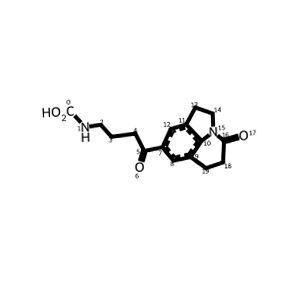 O=C(O)NCCCC(=O)c1cc2c3c(c1)CCN3C(=O)CC2